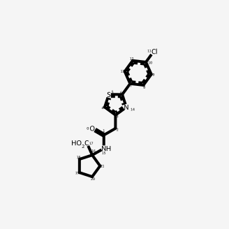 O=C(Cc1csc(-c2ccc(Cl)cc2)n1)NC1(C(=O)O)CCCC1